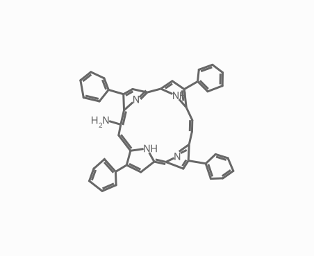 Nc1cc2[nH]c(cc2-c2ccccc2)c2nc(ccc3[nH]c(cc3-c3ccccc3)c3nc1C(c1ccccc1)=C3)C(c1ccccc1)=C2